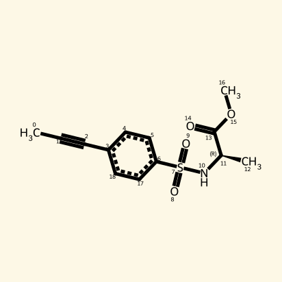 CC#Cc1ccc(S(=O)(=O)N[C@H](C)C(=O)OC)cc1